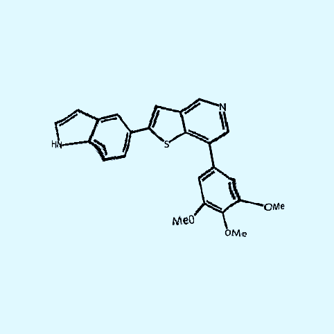 COc1cc(-c2cncc3cc(-c4ccc5[nH]ccc5c4)sc23)cc(OC)c1OC